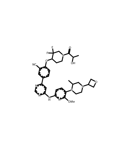 COc1nc(Nc2cc(-c3ccc(OC4CCN(C(=O)C(C)O)CC4(F)F)c(C#N)c3)ncn2)ccc1N1CCN(C2COC2)CC1C